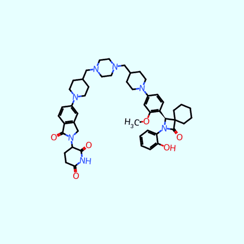 COc1cc(N2CCC(CN3CCN(CC4CCN(c5ccc6c(c5)CN(C5CCC(=O)NC5=O)C6=O)CC4)CC3)CC2)ccc1[C@@H]1N(c2ccccc2O)C(=O)C12CCCCC2